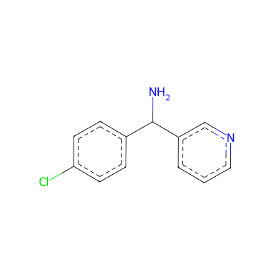 NC(c1ccc(Cl)cc1)c1cccnc1